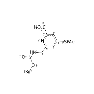 CSc1cc(CNC(=O)OC(C)(C)C)nc(C(=O)O)c1